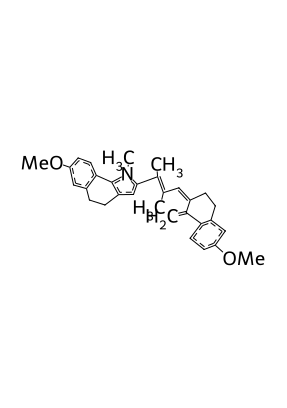 C=C1/C(=C\C(C)=C(/C)c2cc3c(n2C)-c2ccc(OC)cc2CC3)CCc2cc(OC)ccc21